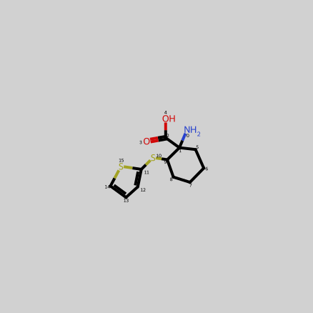 NC1(C(=O)O)CCCCC1Sc1cccs1